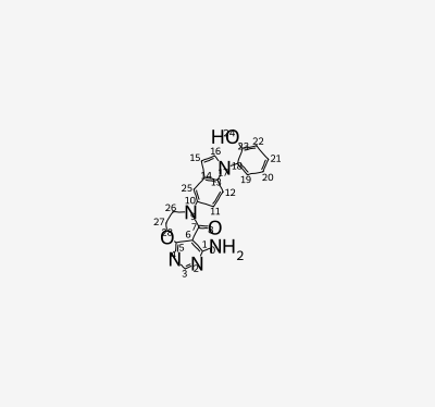 Nc1ncnc2c1C(=O)N(c1ccc3c(ccn3-c3ccccc3O)c1)CCO2